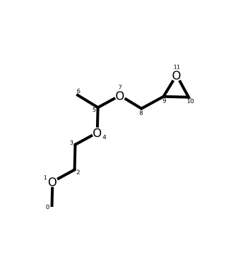 COCCOC(C)OCC1CO1